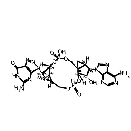 CO[C@H]1[C@H]2OP(=O)(O)OC[C@@]34C[C@@H]3[C@@H](n3cnc5c(N)ncnc53)[C@H](O)[C@@H]4O[PH](=O)OC[C@H]1O[C@H]2n1nnc2c(=O)[nH]c(N)nc21